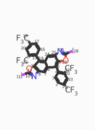 FC(F)(F)c1ccc(-c2c3cc4nc(I)oc4c(-c4ccc(C(F)(F)F)cc4C(F)(F)F)c3cc3nc(I)oc23)c(C(F)(F)F)c1